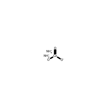 [NH4+].[NH4+].[O]=[Ge]([O-])[O-]